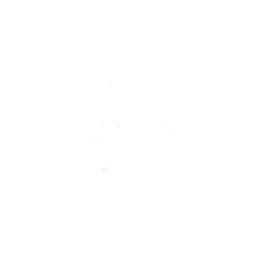 CCNC(=O)c1ccc(C)c(N(C(=N)c2c(C)c(C(=O)NC3CC3)cn2NC)C(=O)OCOC(=O)C(C)NC=O)c1